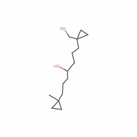 CC1(CCCC(O)CCCC2(CO)CC2)CC1